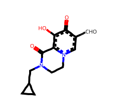 O=Cc1cn2c(c(O)c1=O)C(=O)N(CC1CC1)CC2